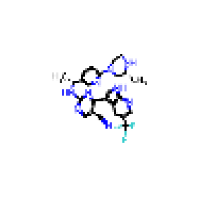 C[C@@H]1CN(c2ccc([C@@H](C)Nc3ncc(C#N)c(-c4c[nH]c5ncc(C(F)(F)F)cc45)n3)cn2)CCN1